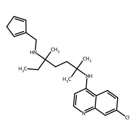 CCC(C)(CCC(C)(C)Nc1ccnc2cc(Cl)ccc12)NCC1=CCC=C1